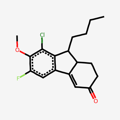 CCCCC1c2c(cc(F)c(OC)c2Cl)C2=CC(=O)CCC21